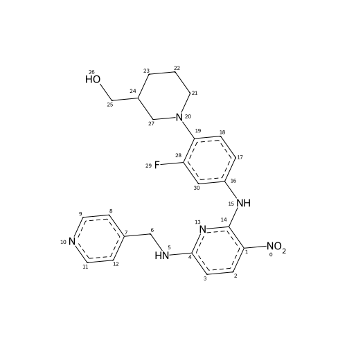 O=[N+]([O-])c1ccc(NCc2ccncc2)nc1Nc1ccc(N2CCCC(CO)C2)c(F)c1